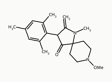 C=C1C(c2c(C)cc(C)cc2C)C(=O)C2(CCN(OC)CC2)N1C